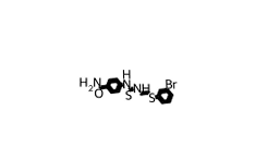 NC(=O)c1ccc(NC(=S)NCCSc2cccc(Br)c2)cc1